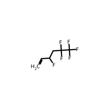 C=CC(F)CC(F)(F)C(F)(F)F